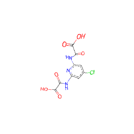 O=C(O)C(=O)Nc1cc(Cl)cc(NC(=O)C(=O)O)n1